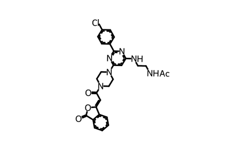 CC(=O)NCCNc1cc(N2CCN(C(=O)C=C3OC(=O)c4ccccc43)CC2)nc(-c2ccc(Cl)cc2)n1